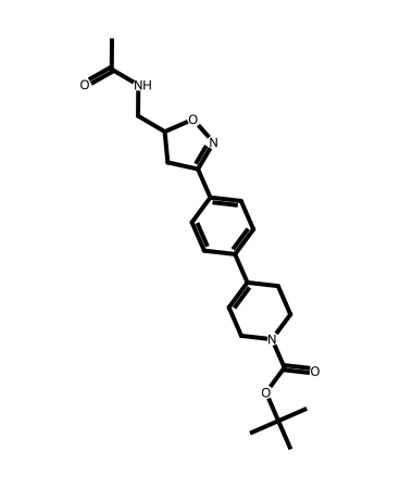 CC(=O)NCC1CC(c2ccc(C3=CCN(C(=O)OC(C)(C)C)CC3)cc2)=NO1